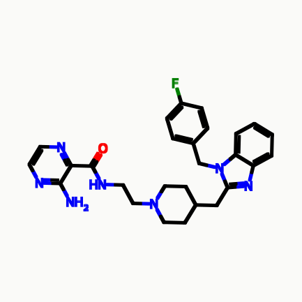 Nc1nccnc1C(=O)NCCN1CCC(Cc2nc3ccccc3n2Cc2ccc(F)cc2)CC1